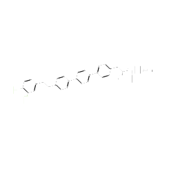 CCCCCCC(C)Cc1ccc(-c2ccc(-c3ccc(CCc4ccc(F)c(F)c4)cc3)cc2)cc1